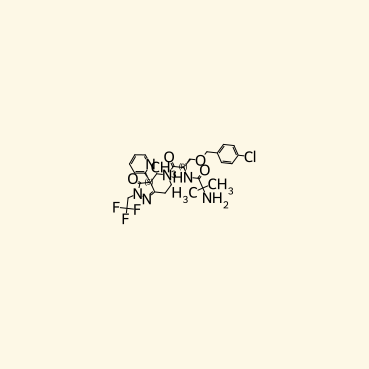 CC1N(C(=O)[C@@H](COCc2ccc(Cl)cc2)NC(=O)C(C)(C)N)CCC2=NN(CC(F)(F)F)C(=O)[C@@]21c1ccccn1